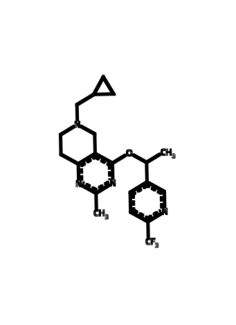 Cc1nc2c(c(OC(C)c3ccc(C(F)(F)F)nc3)n1)CN(CC1CC1)CC2